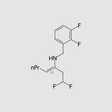 CCC/C=C(/CC(F)F)NCc1cccc(F)c1F